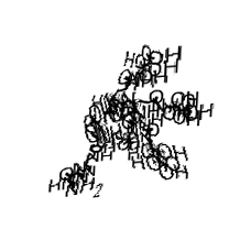 Nc1nc2ncc(CNc3ccc(C(=O)N[C@@H](CCC(=O)N[C@@H](CCC(=O)NC[C@H](O)[C@@H](O)[C@H](O)C(=O)O)C(=O)N[C@@H](CCC(=O)NC[C@H](O)[C@@H](O)[C@H](O)C(=O)O)C(=O)N[C@@H](CCC(=O)NC[C@H](O)[C@@H](O)[C@H](O)C(=O)O)C(=O)N[C@@H](CS)C(=O)O)C(=O)O)cc3)nc2c(=O)[nH]1